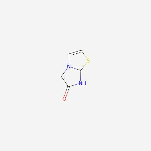 O=C1CN2C=CSC2N1